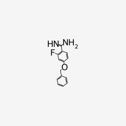 N=C(N)c1ccc(OCc2ccccc2)cc1F